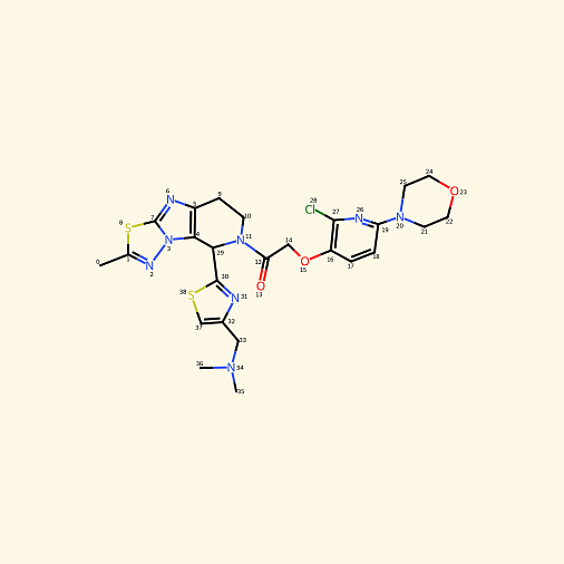 Cc1nn2c3c(nc2s1)CCN(C(=O)COc1ccc(N2CCOCC2)nc1Cl)C3c1nc(CN(C)C)cs1